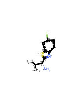 CC(C)[C@@H](N)c1nc2ccc(F)cc2s1